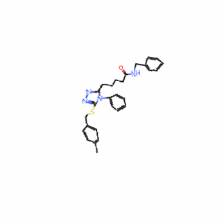 Cc1ccc(CSc2nnc(CCCCC(=O)NCc3ccccc3)n2-c2ccccc2)cc1